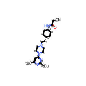 CC(C)(C)c1cc(N2CCN(CC[C@H]3CC[C@H](NC(=O)CC#N)CC3)CC2)nc(C(C)(C)C)n1